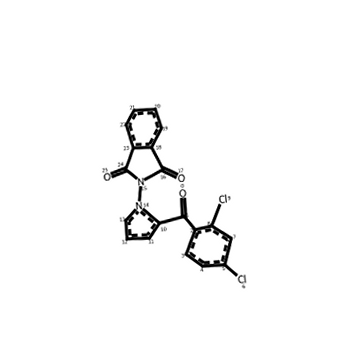 O=C(c1ccc(Cl)cc1Cl)c1cccn1N1C(=O)c2ccccc2C1=O